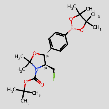 CC(C)(C)OC(=O)N1[C@H](CF)[C@@H](c2ccc(B3OC(C)(C)C(C)(C)O3)cc2)OC1(C)C